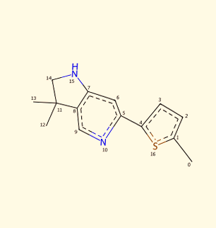 Cc1ccc(-c2cc3c(cn2)C(C)(C)CN3)s1